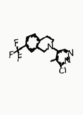 Cc1c(N2CCc3ccc(C(F)(F)F)cc3C2)cnnc1Cl